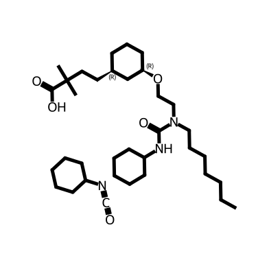 CCCCCCCN(CCO[C@@H]1CCC[C@H](CCC(C)(C)C(=O)O)C1)C(=O)NC1CCCCC1.O=C=NC1CCCCC1